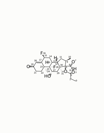 CCC(=O)O[C@]1(C(=O)S)[C@H](C)C[C@H]2[C@@H]3C[C@H](F)C4=CC(=O)CC[C@]4(C)[C@]3(F)[C@@H](O)C[C@@]21C